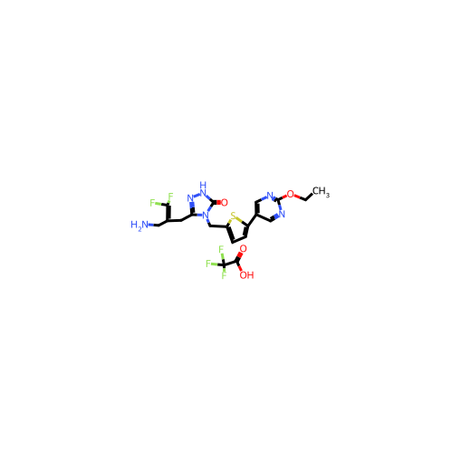 CCOc1ncc(-c2ccc(Cn3c(CC(CN)=C(F)F)n[nH]c3=O)s2)cn1.O=C(O)C(F)(F)F